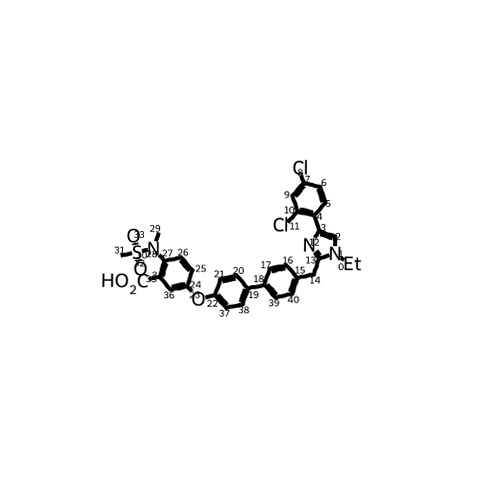 CCn1cc(-c2ccc(Cl)cc2Cl)nc1Cc1ccc(-c2ccc(Oc3ccc(N(C)S(C)(=O)=O)c(C(=O)O)c3)cc2)cc1